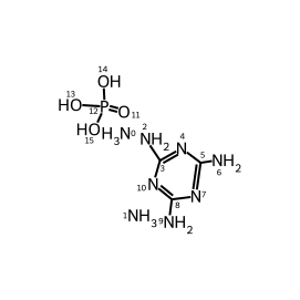 N.N.Nc1nc(N)nc(N)n1.O=P(O)(O)O